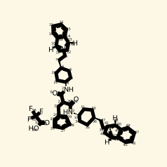 O=C(N[C@H]1CC[C@H](CCN2[C@@H]3CC[C@H]2c2ccccc23)CC1)C(Cc1ccccc1)C(=O)N[C@H]1CC[C@H](CCN2[C@@H]3CC[C@H]2c2ccccc23)CC1.O=C(O)C(F)(F)F